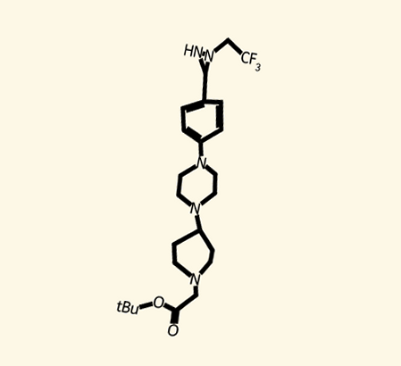 CC(C)(C)OC(=O)CN1CCC(N2CCN(c3ccc(C4NN4CC(F)(F)F)cc3)CC2)CC1